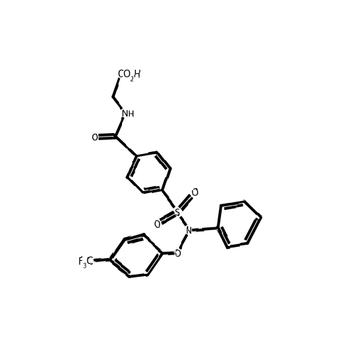 O=C(O)CNC(=O)c1ccc(S(=O)(=O)N(Oc2ccc(C(F)(F)F)cc2)c2ccccc2)cc1